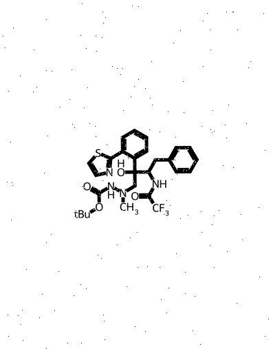 CN(CC(O)(c1ccccc1-c1nccs1)C(Cc1ccccc1)NC(=O)C(F)(F)F)NC(=O)OC(C)(C)C